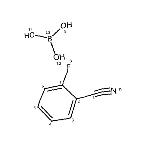 N#Cc1ccccc1F.OB(O)O